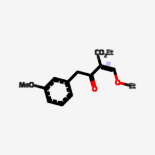 CCO/C=C(\C(=O)Cc1cccc(OC)c1)C(=O)OCC